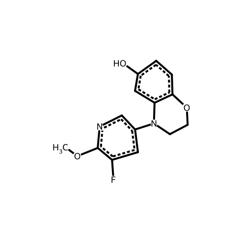 COc1ncc(N2CCOc3ccc(O)cc32)cc1F